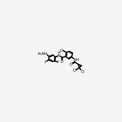 CC(=O)Nc1cc(NC(=O)c2cc(NC(=O)C3CC3(Cl)Cl)ccc2Cl)c(F)cc1F